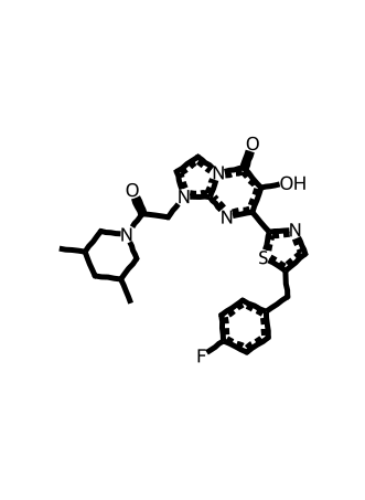 CC1CC(C)CN(C(=O)Cn2ccn3c(=O)c(O)c(-c4ncc(Cc5ccc(F)cc5)s4)nc23)C1